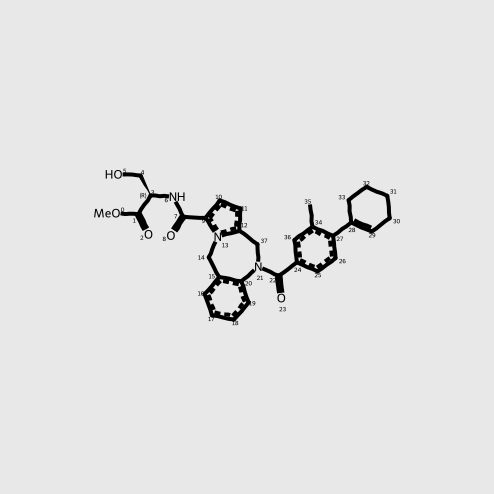 COC(=O)[C@@H](CO)NC(=O)c1ccc2n1Cc1ccccc1N(C(=O)c1ccc(C3=CCCCC3)c(C)c1)C2